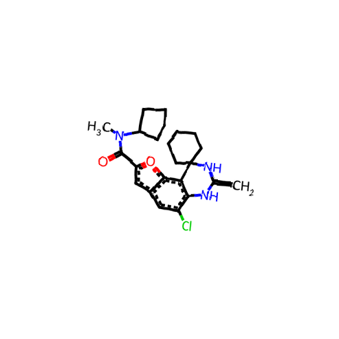 C=C1Nc2c(Cl)cc3cc(C(=O)N(C)C4CCCC4)oc3c2C2(CCCCC2)N1